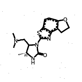 C[C@H]1NC(=O)N(c2nc3c4c(ccc3s2)OCC4)C1CN(C)C